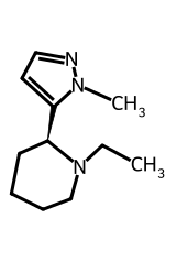 CCN1CCCC[C@H]1c1ccnn1C